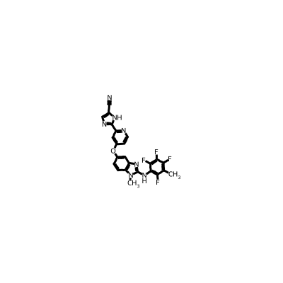 Cc1c(F)c(F)c(F)c(Nc2nc3cc(Oc4ccnc(-c5ncc(C#N)[nH]5)c4)ccc3n2C)c1F